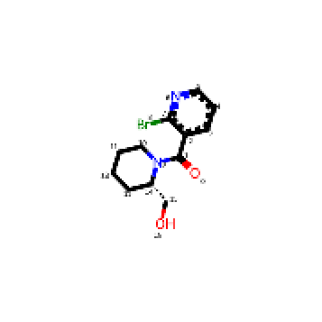 O=C(c1cccnc1Br)N1CCCC[C@H]1CO